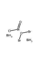 BrOBr.[BiH3].[BiH3].[O]=[Bi][Cl]